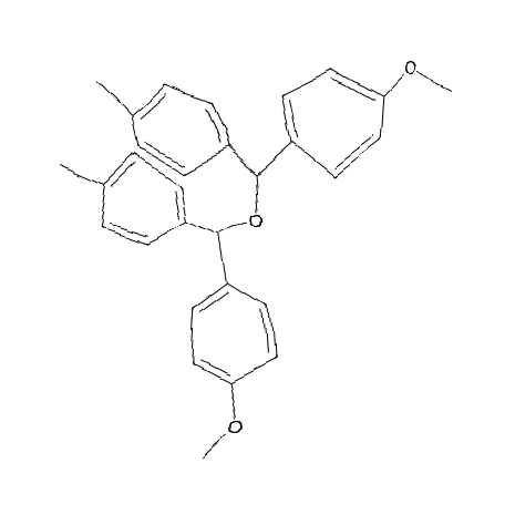 COc1ccc(C(OC(c2ccc(C)cc2)c2ccc(OC)cc2)c2ccc(C)cc2)cc1